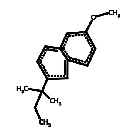 CCC(C)(C)c1ccc2cc(OC)ccc2c1